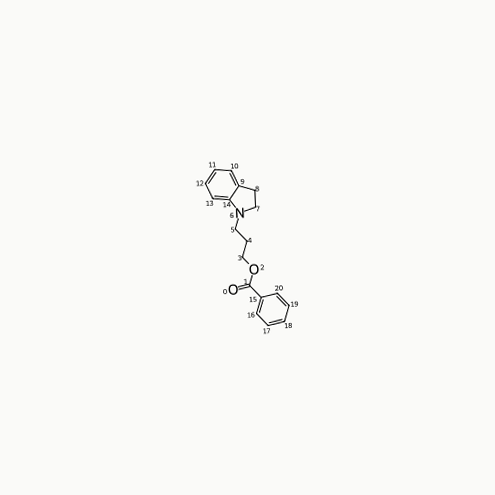 O=C(OCCCN1CCc2ccccc21)c1ccccc1